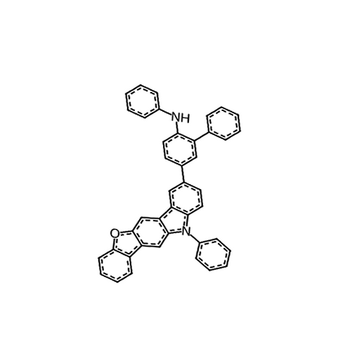 c1ccc(Nc2ccc(-c3ccc4c(c3)c3cc5oc6ccccc6c5cc3n4-c3ccccc3)cc2-c2ccccc2)cc1